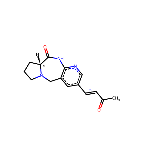 CC(=O)/C=C/c1cnc2c(c1)CN1CCC[C@@H]1C(=O)N2